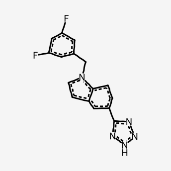 Fc1cc(F)cc(Cn2ccc3cc(-c4nn[nH]n4)ccc32)c1